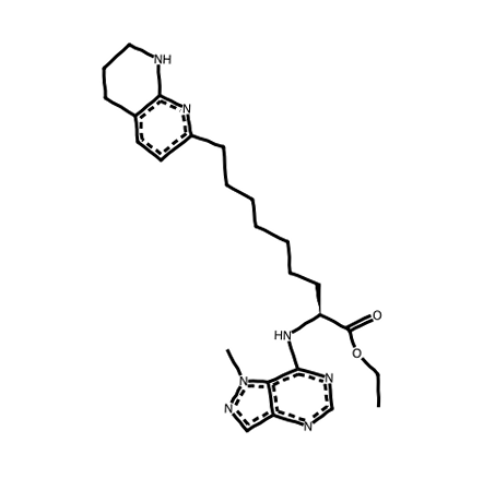 CCOC(=O)[C@H](CCCCCCCc1ccc2c(n1)NCCC2)Nc1ncnc2cnn(C)c12